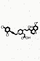 COc1ccc2nccc([C@H](O)CC[C@@H]3CCN(CC#Cc4ccc(Cl)cc4Cl)C[C@@H]3CC(=O)O)c2c1